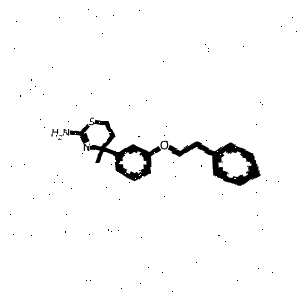 CC1(c2cccc(OCCc3ccccc3)c2)CCSC(N)=N1